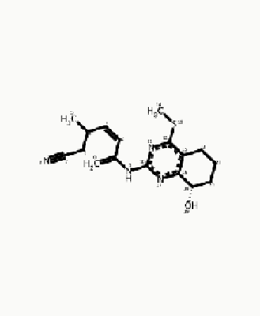 C=C(/C=C\C(C)CC#N)Nc1nc(SC)c2c(n1)[C@@H](O)CCC2